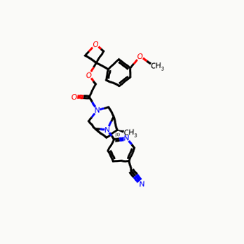 COc1cccc(C2(OCC(=O)N3CC4C[C@H](C)C(C3)N4c3ccc(C#N)cn3)COC2)c1